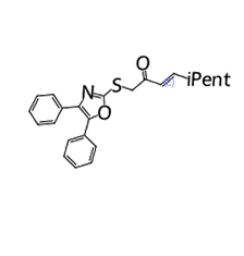 CCCC(C)/C=C/C(=O)CSc1nc(-c2ccccc2)c(-c2ccccc2)o1